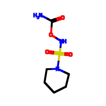 NC(=O)ONS(=O)(=O)N1CCCCC1